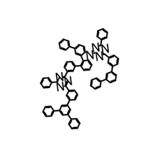 c1ccc(-c2cccc(-c3cccc(-c4nc(-c5ccccc5)nc(-n5c6ccc(-c7ccccc7)cc6c6c(-c7cccc(-c8nc(-c9ccccc9)nc(-c9cccc(-c%10cc(-c%11ccccc%11)cc(-c%11ccccc%11)c%10)c9)n8)c7)cccc65)n4)c3)c2)cc1